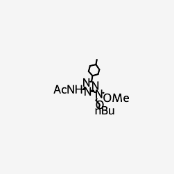 CCCCOCN(COC)c1nc(NC(C)=O)nc(C2CCC(C)CC2)n1